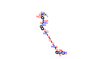 CN(C)C(=O)c1ccc(/C(O)=C/C(=N)C(=O)N[C@@H]2CCc3ccc(OCC(=O)NCCOCCOCCOCCNC(=O)COc4cccc5c4C(=O)N(C4CCC(=O)NC4=O)C5=O)cc32)cc1O